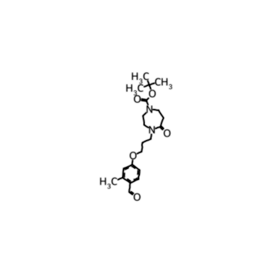 Cc1cc(OCCCN2CCN(C(=O)OC(C)(C)C)CCC2=O)ccc1C=O